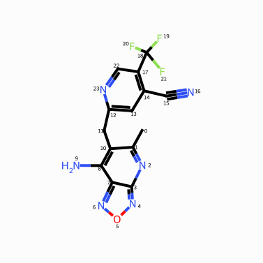 Cc1nc2nonc2c(N)c1Cc1cc(C#N)c(C(F)(F)F)cn1